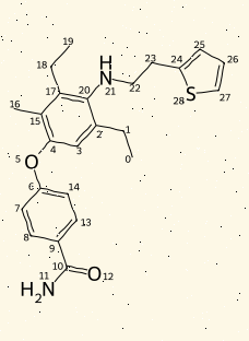 CCc1cc(Oc2ccc(C(N)=O)cc2)c(C)c(CC)c1NCCc1cccs1